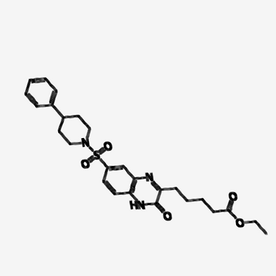 CCOC(=O)CCCCc1nc2cc(S(=O)(=O)N3CCC(c4ccccc4)CC3)ccc2[nH]c1=O